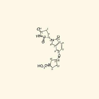 O=C1CCC(N2Cc3cc(O[C@@H]4CCN(C(=O)O)C4)ccc3C2=O)C(=O)N1